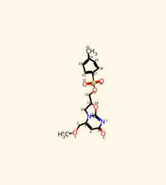 COCc1cc(=O)nc2n1CC(COS(=O)(=O)c1ccc(C)cc1)O2